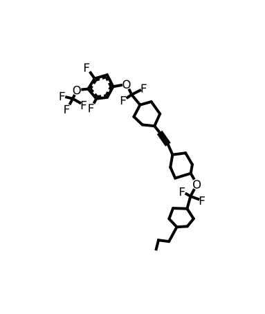 CCCC1CCC(C(F)(F)OC2CCC(C#CC3CCC(C(F)(F)Oc4cc(F)c(OC(F)(F)F)c(F)c4)CC3)CC2)CC1